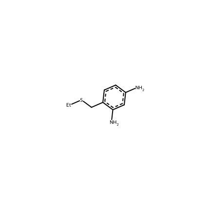 CCSCc1ccc(N)cc1N